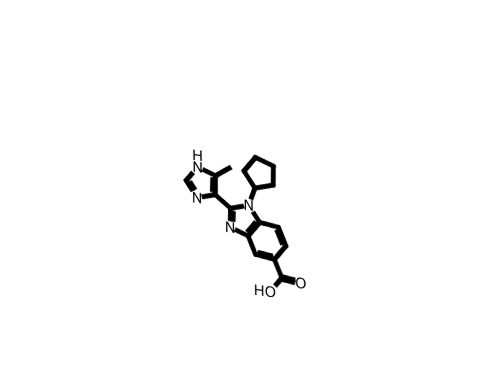 Cc1[nH]cnc1-c1nc2cc(C(=O)O)ccc2n1C1CCCC1